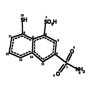 NS(=O)(=O)c1cc(S(=O)(=O)O)c2c(S)cccc2c1